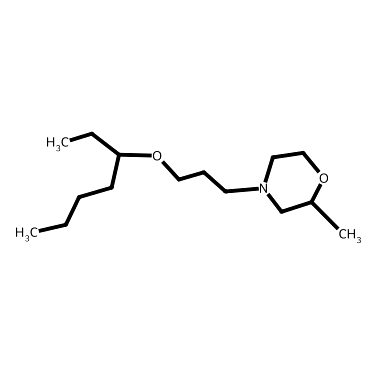 CCCCC(CC)OCCCN1CCOC(C)C1